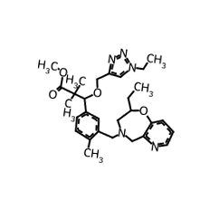 CCC1CN(Cc2cc(C(OCc3cn(CC)nn3)C(C)(C)C(=O)OC)ccc2C)Cc2ncccc2O1